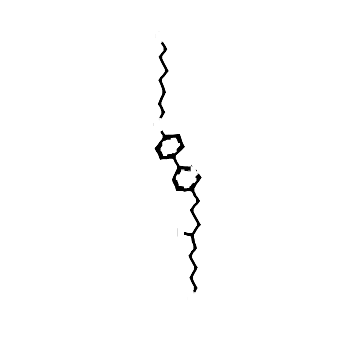 CCCCCCCCOc1ccc(-c2ccc(CCCC(F)CCCCCC)cn2)cc1